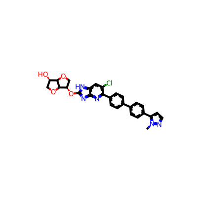 Cn1nccc1-c1ccc(-c2ccc(-c3nc4nc(O[C@@H]5COC6C5OC[C@H]6O)[nH]c4cc3Cl)cc2)cc1